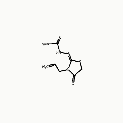 C=CCN1C(=O)CS/C1=N/NC(=S)NC